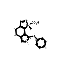 C[N+]1(C(=O)O)N=CC2=C1c1c(csc1Oc1ccccc1)CC2